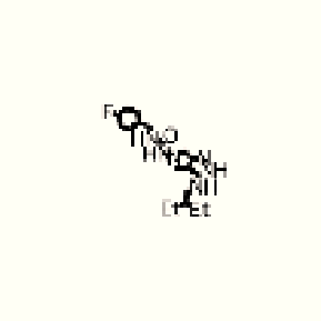 CCC(CC)CNc1[nH]nc2c1CN(NC(=O)NCc1ccc(F)cc1)C2